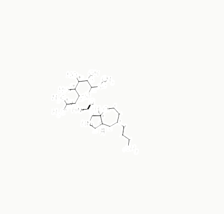 CCCC[C@@H]1CCO[C@@H]2[C@H](CN[C@@H]2C(=O)N[C@H](C(C)C)[C@H]2OC(SC)[C@H](O)C(O)C2O)C1